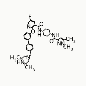 Cc1cc(C(=O)NC2CCC(NC(=O)c3cc(F)cnc3Oc3cccc(-c4ccc(CN5C[C@@H](C)N[C@@H](C)C5)cc4)c3)CC2)nn1C